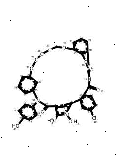 Cc1c2cc(n1C)-c1cc(Cl)ccc1C(=O)N1CCc3c(cccc3OCCCCOc3cccc(c3)N(c3ccc(O)cc3)C2=O)C1